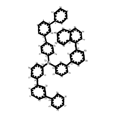 c1ccc(-c2cccc(-c3ccc(N(c4cccc(-c5cccc(-c6ccccc6)c5)c4)c4cccc(-c5cccc(-c6cccc7ccccc67)c5)c4)cc3)c2)cc1